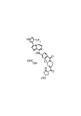 O=C(c1ccc(Nc2nccn3c(-c4c[nH]nc4C(F)(F)F)cnc23)cc1Cl)N1CCN(C(=O)[C@H]2C[C@H](O)CN2)CC1.O=CO